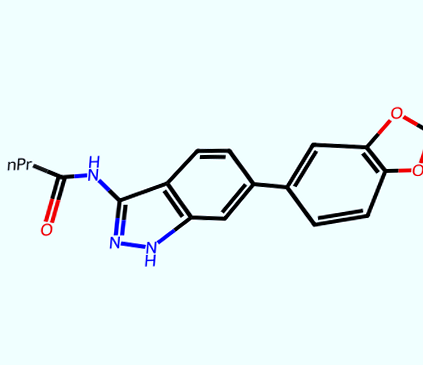 CCCC(=O)Nc1n[nH]c2cc(-c3ccc4c(c3)OCO4)ccc12